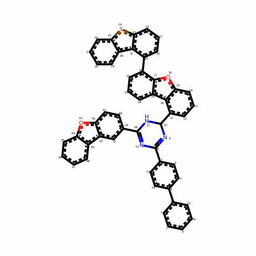 c1ccc(-c2ccc(C3=NC(c4cccc5oc6c(-c7cccc8sc9ccccc9c78)cccc6c45)NC(c4ccc5oc6ccccc6c5c4)=N3)cc2)cc1